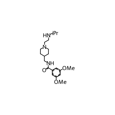 COc1cc(OC)cc(C(=O)NCC2CCN(CCNC(C)C)CC2)c1